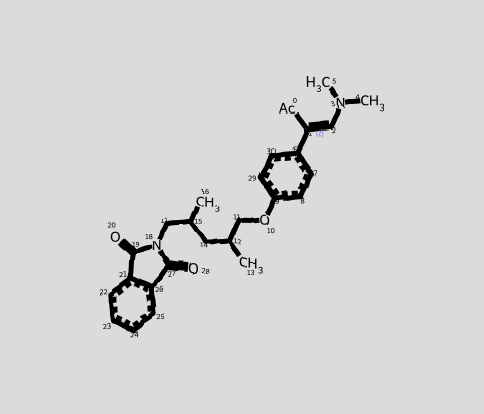 CC(=O)/C(=C\N(C)C)c1ccc(OCC(C)CC(C)CN2C(=O)c3ccccc3C2=O)cc1